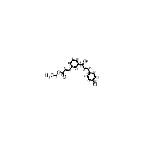 CCOC(=O)/C=C/c1cccc(C(=O)/C=C/c2ccc(Cl)cc2)c1